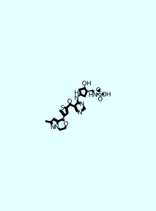 Cc1cc2n(n1)CCO[C@@H]2c1csc(C(=O)c2cncnc2N[C@H]2C[C@H](O)[C@@H]([CH]NS(=O)(=O)O)C2)c1